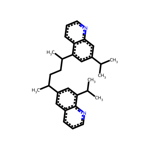 CC(C)c1cc(C(C)CCC(C)c2cc(C(C)C)c3ncccc3c2)c2cccnc2c1